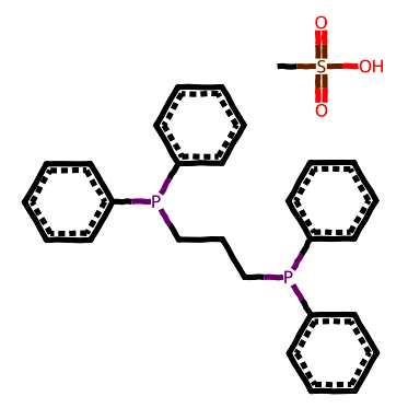 CS(=O)(=O)O.c1ccc(P(CCCP(c2ccccc2)c2ccccc2)c2ccccc2)cc1